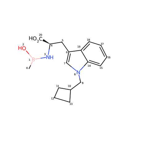 CB(O)N[C@H](Cc1cn(CC2CCC2)c2ccccc12)C(=O)O